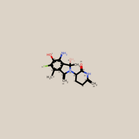 BC1(C)c2c(N)c(O)c(F)c(C)c2C(=C)N1C1CCC(=C)NC1=O